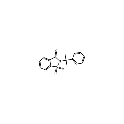 CC(C)(c1ccccc1)N1C(=O)c2ccccc2S1(=O)=O